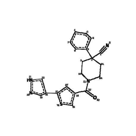 N#CC1(c2ccccc2)CCN(C(=O)c2csc(-c3cn[nH]c3)c2)CC1